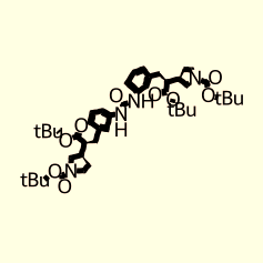 CC(C)(C)OC(=O)[C@@H](Cc1cccc(NC(=O)Nc2cccc(C[C@H](C(=O)OC(C)(C)C)[C@H]3CCN(C(=O)OC(C)(C)C)C3)c2)c1)[C@H]1CCN(C(=O)OC(C)(C)C)C1